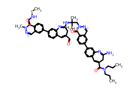 CCCN(CCC)C(=O)C1=Cc2ccc(-c3ccc(C=O)c(/C=N\N(C)CC(C)(C)NC4=Nc5cc(-c6ccc(C=O)c(/C=N\N(C)CCNSC)c6)ccc5C=C(C=O)C4)c3)cc2N=C(N)C1